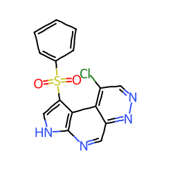 O=S(=O)(c1ccccc1)c1c[nH]c2ncc3nncc(Cl)c3c12